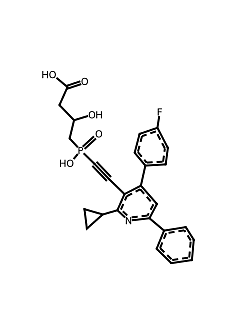 O=C(O)CC(O)CP(=O)(O)C#Cc1c(-c2ccc(F)cc2)cc(-c2ccccc2)nc1C1CC1